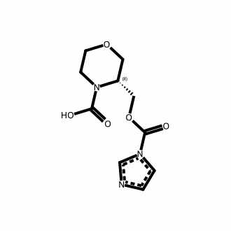 O=C(O)N1CCOC[C@@H]1COC(=O)n1ccnc1